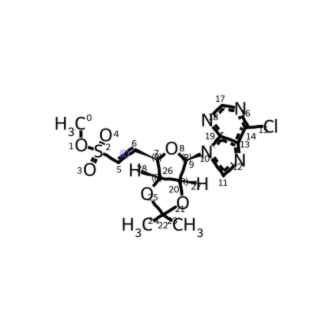 COS(=O)(=O)/C=C/[C@H]1O[C@@H](n2cnc3c(Cl)ncnc32)[C@@H]2OC(C)(C)O[C@@H]21